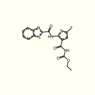 CCOC(=O)NC(=O)c1cc(F)sc1NC(=O)c1nc2ccccc2s1